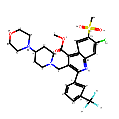 COC(=O)c1c(CN2CCC(N3CCOCC3)CC2)c(-c2cccc(C(F)(F)F)c2)nc2cc(Cl)c(S(C)(=O)=O)cc12